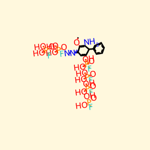 COC1=C(N)C(c2ccccc2)C=CC1=[N+]=[N-].O=P(O)(O)F.O=P(O)(O)F.O=P(O)(O)F.O=P(O)(O)F.O=P(O)(O)F.O=P(O)(O)F